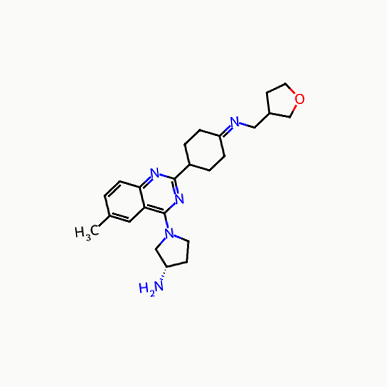 Cc1ccc2nc(C3CCC(=NCC4CCOC4)CC3)nc(N3CC[C@H](N)C3)c2c1